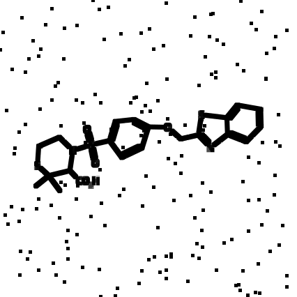 CC1(C)SCCN(S(=O)(=O)c2ccc(OCc3nc4ccccc4s3)cc2)C1C(=O)O